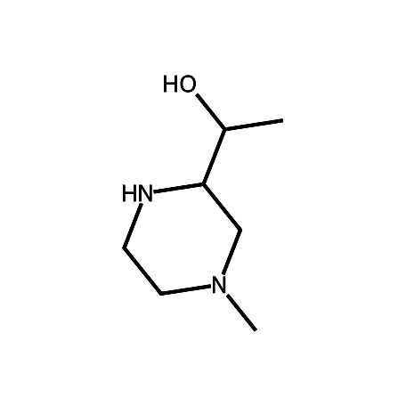 CC(O)C1CN(C)CCN1